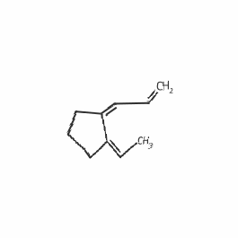 C=C/C=C1/CCC/C1=C/C